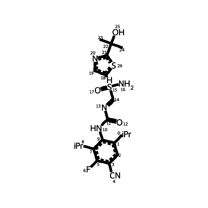 CC(C)c1cc(C#N)c(F)c(C(C)C)c1NC(=O)/N=C/[SH](N)(=O)c1cnc(C(C)(C)O)s1